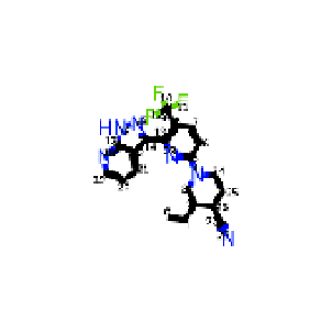 CCC1CN(c2ccc(C(F)(F)F)c(-c3n[nH]c4ncccc34)n2)CCC1C#N